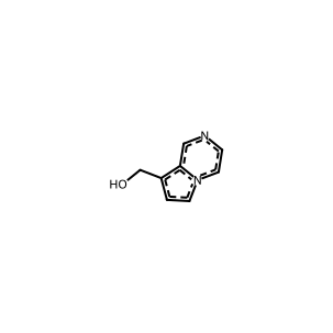 OCc1ccn2ccncc12